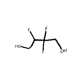 OCC(F)C(F)(F)CO